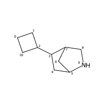 C1CC(C2CC3CC2CN3)C1